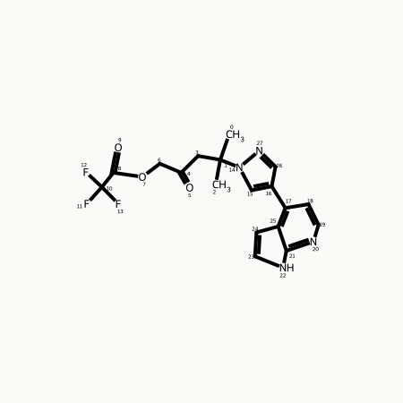 CC(C)(CC(=O)COC(=O)C(F)(F)F)n1cc(-c2ccnc3[nH]ccc23)cn1